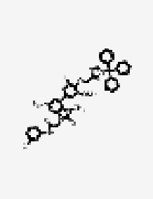 COc1cc(-c2cc(C(F)(F)F)cc3c2n(C)c(=O)n3CC(=O)Nc2cccc(Cl)c2)cc(F)c1OCc1ncn(C(c2ccccc2)(c2ccccc2)c2ccccc2)n1